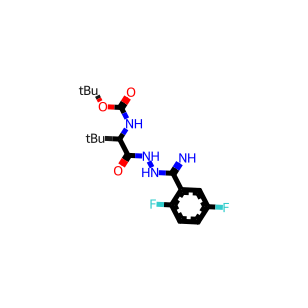 CC(C)(C)OC(=O)NC(C(=O)NNC(=N)c1cc(F)ccc1F)C(C)(C)C